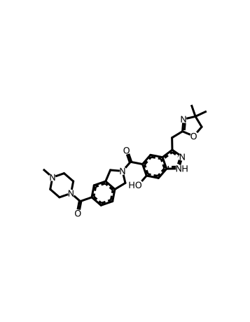 CN1CCN(C(=O)c2ccc3c(c2)CN(C(=O)c2cc4c(CC5=NC(C)(C)CO5)n[nH]c4cc2O)C3)CC1